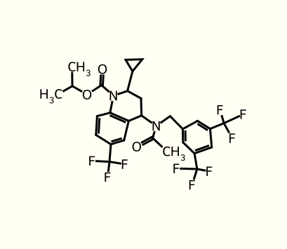 CC(=O)N(Cc1cc(C(F)(F)F)cc(C(F)(F)F)c1)C1CC(C2CC2)N(C(=O)OC(C)C)c2ccc(C(F)(F)F)cc21